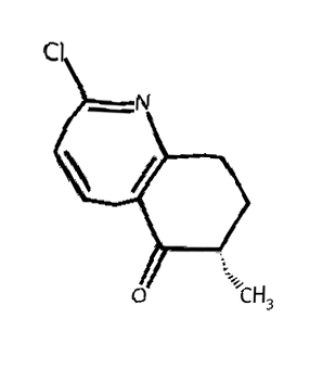 C[C@H]1CCc2nc(Cl)ccc2C1=O